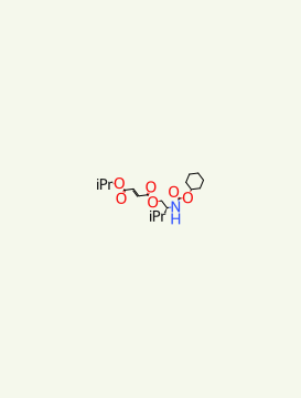 CC(C)OC(=O)/C=C/C(=O)OC[C@@H](NC(=O)OC1CCCCC1)C(C)C